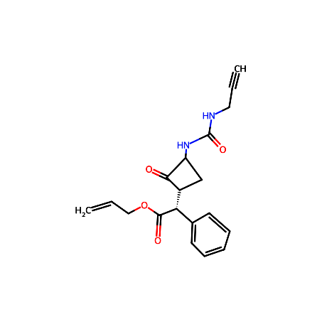 C#CCNC(=O)NC1CC([C@@H](C(=O)OCC=C)c2ccccc2)C1=O